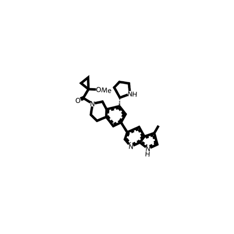 COC1(C(=O)N2CCc3cc(-c4cnc5[nH]cc(C)c5c4)cc([C@@H]4CCCN4)c3C2)CC1